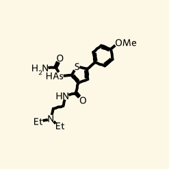 CCN(CC)CCNC(=O)c1cc(-c2ccc(OC)cc2)sc1[AsH]C(N)=O